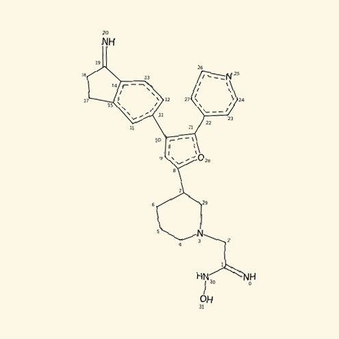 N=C(CN1CCCC(c2cc(-c3ccc4c(c3)CCC4=N)c(-c3ccncc3)o2)C1)NO